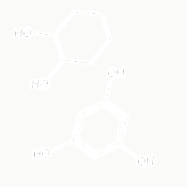 OC1CCCCC1O.Oc1cc(O)cc(O)c1